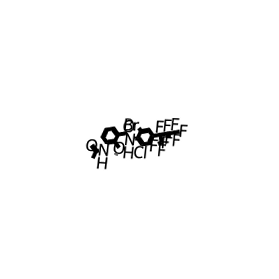 COc1c(NC(C)=O)cccc1C(=O)Nc1c(Cl)cc(C(F)(C(F)(F)F)C(F)(F)C(F)(F)F)cc1Br